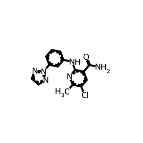 Cc1nc(Nc2cccc(-n3nccn3)c2)c(C(N)=O)cc1Cl